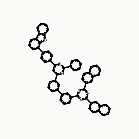 c1ccc(-c2nc(-c3ccc(-c4cccc5c4oc4ccccc45)cc3)cc(-c3cccc(-c4cccc(-c5nc(-c6ccc7ccccc7c6)nc(-c6ccc7ccccc7c6)n5)c4)c3)n2)cc1